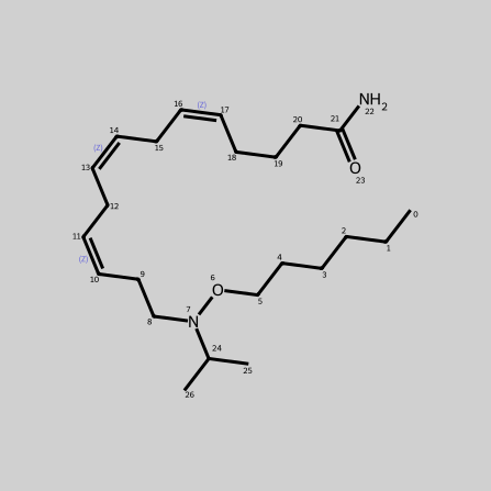 CCCCCCON(CC/C=C\C/C=C\C/C=C\CCCC(N)=O)C(C)C